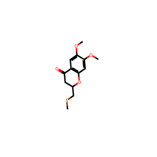 COc1cc2c(cc1OC)C(=O)CC(CSC)O2